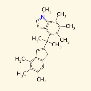 Cc1cc2c(c(C)c1C)C=C(C(C)(C)c1c(C)c(C)c(C)c3c1ccn3C)C2